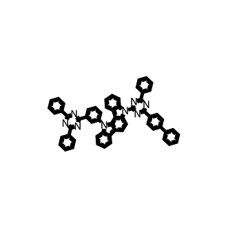 c1ccc(-c2ccc(-c3nc(-c4ccccc4)nc(-n4c5ccccc5c5c4ccc4c6ccccc6n(-c6cccc(-c7nc(-c8ccccc8)nc(-c8ccccc8)n7)c6)c45)n3)cc2)cc1